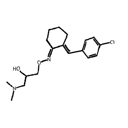 CN(C)CC(O)CO/N=C1\CCCC\C1=C/c1ccc(Cl)cc1